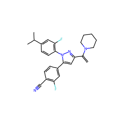 C=C(c1cc(-c2ccc(C#N)c(F)c2)n(-c2ccc(C(C)C)cc2F)n1)N1CCCCC1